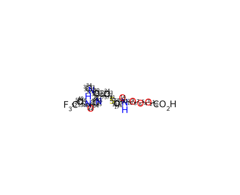 O=C(O)CCOCCOCCOCCNC(=O)c1cccc(SCc2cccc(Cc3ccc(N4CCCCC4)cc3-c3cc(C(=O)NCc4cccc(C(F)(F)F)c4)ccn3)c2)c1